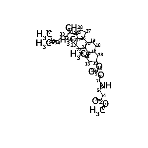 COC(=O)CCNCOC(=O)OC1CC[C@@]2(C)C(CCC3C2CC[C@@]2(C)C3CC[C@@H]2[C@H](C)CCCC(C)C)C1